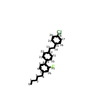 CCCCCc1ccc(-c2ccc(CCc3ccc(Cl)cc3)cc2)c(F)c1